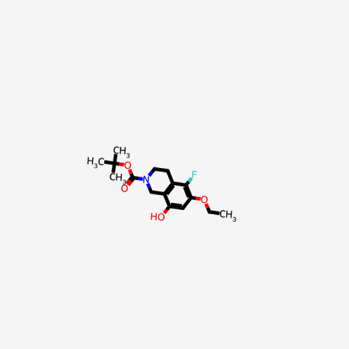 CCOc1cc(O)c2c(c1F)CCN(C(=O)OC(C)(C)C)C2